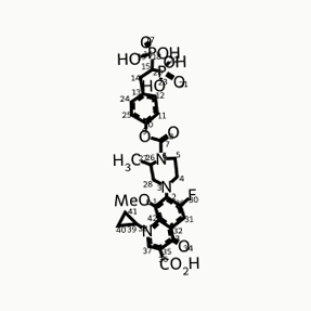 COc1c(N2CCN(C(=O)Oc3ccc(CC(P(=O)(O)O)P(=O)(O)O)cc3)C(C)C2)c(F)cc2c(=O)c(C(=O)O)cn(C3CC3)c12